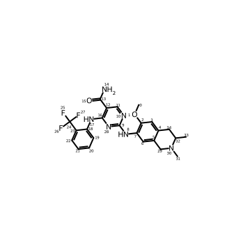 COc1cc2c(cc1Nc1ncc(C(N)=O)c(Nc3ccccc3C(F)(F)F)n1)CN(C)C(C)C2